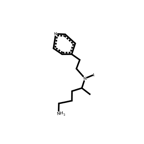 CC(CCCN)N(I)CCc1ccncc1